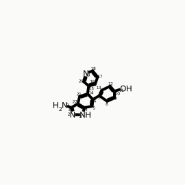 Nc1n[nH]c2cc(-c3ccc(O)cc3)c(-c3cccnc3)cc12